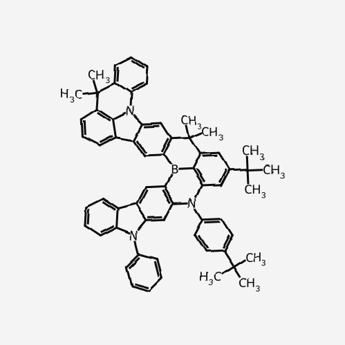 CC(C)(C)c1ccc(N2c3cc4c(cc3B3c5cc6c7cccc8c7n(c6cc5C(C)(C)c5cc(C(C)(C)C)cc2c53)-c2ccccc2C8(C)C)c2ccccc2n4-c2ccccc2)cc1